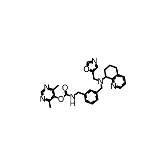 Cc1ncnc(C)c1OC(=O)NCc1cccc(CN(Cc2cnco2)C2CCCc3cccnc32)c1